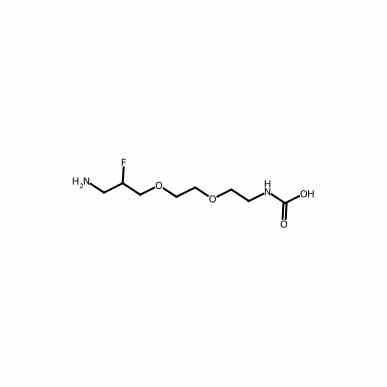 NCC(F)COCCOCCNC(=O)O